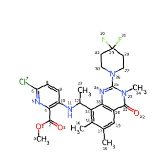 COC(=O)c1nc(Cl)ccc1NC(C)c1c(C)c(C)cc2c(=O)n(C)c(N3CCC(F)(F)CC3)nc12